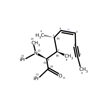 CC#C/C=C\[C@@H](C)[C@@H](C)[C@@H](C(=O)C(C)C)N(C)C(C)C